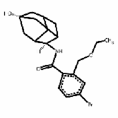 CCOCc1cc(Br)ccc1C(=O)N[C@H]1C2CC3CC1C[C@](O)(C3)C2